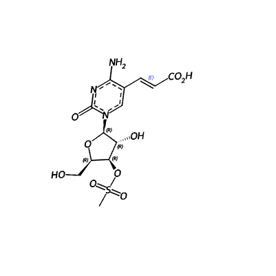 CS(=O)(=O)O[C@@H]1[C@@H](O)[C@H](n2cc(/C=C/C(=O)O)c(N)nc2=O)O[C@@H]1CO